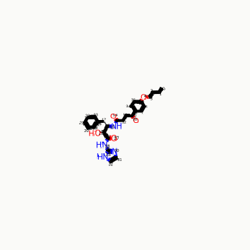 CCCCOc1ccc(C(=O)CCC(=O)N[C@@H](Cc2ccccc2)[C@@H](O)C(=O)Nc2ncc[nH]2)cc1